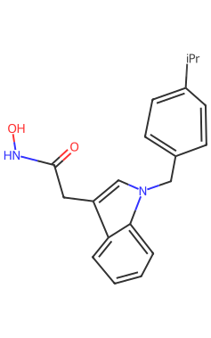 CC(C)c1ccc(Cn2cc(CC(=O)NO)c3ccccc32)cc1